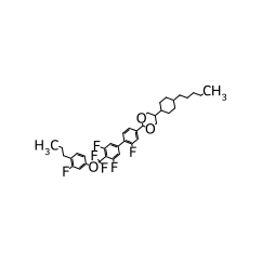 CCCCCC1CCC(C2COC(c3ccc(-c4cc(F)c(C(F)(F)Oc5ccc(CCC)c(F)c5)c(F)c4)c(F)c3)OC2)CC1